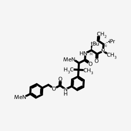 C=C[C@H](C(C)C)N(C)C(=O)[C@@H](NC(=O)C(NC)C(C)(C)c1cccc(NC(=O)OCc2ccc(NC)cc2)c1)C(C)(C)C